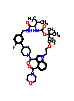 COCCn1cc(C(=O)N2CCC(c3cc(CNC(=O)[C@@H](NC(=O)OC(C)(C)C)C(C)C)ccc3F)CC2)c2c(C(=O)N3CCOCC3)cccc21